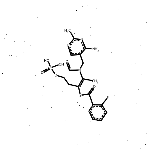 CC(=C(CCOP(=O)(O)O)SC(=O)c1ccccc1F)N(C=O)Cc1cnc(C)nc1N